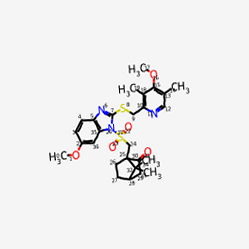 COc1ccc2nc(SCc3ncc(C)c(OC)c3C)n(S(=O)(=O)CC34CCC(CC3=O)C4(C)C)c2c1